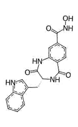 O=C(NO)c1ccc2c(c1)NC(=O)[C@@H](Cc1c[nH]c3ccccc13)NC2=O